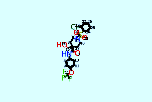 O=C(Nc1ccc(OC(F)(F)F)cc1)C1(CO)CCN(S(=O)(=O)c2ccccc2Cl)CC1